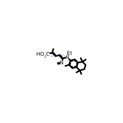 C=N/C(=C\C=C(/C)C(=O)O)N(CC)c1cc2c(cc1C)C(C)(C)CCC2(C)C